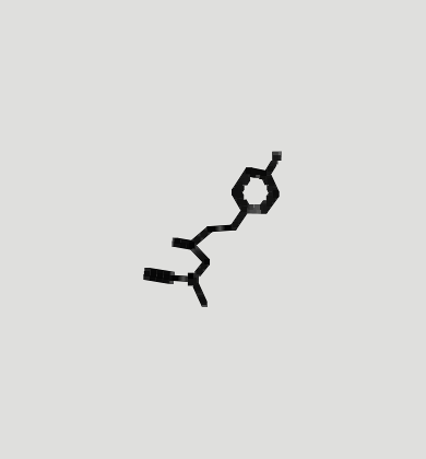 C#CN(C)CC(=C)CCc1ccc(F)cc1